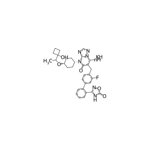 CCCc1c(Cc2ccc(-c3ccccc3-c3noc(=O)[nH]3)cc2F)c(=O)n([C@H]2CC[C@H](OC(C)C3(O)CCC3)CC2)c2ncnn12.[KH]